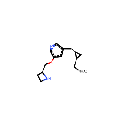 CC(=O)NC[C@@H]1C[C@H]1Cc1cncc(OC[C@@H]2CCN2)c1